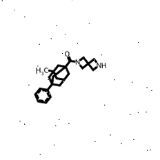 CC12CC3CC(C(=O)N4CC5(CNC5)C4)(C1)CC(c1ccccc1)(C3)C2